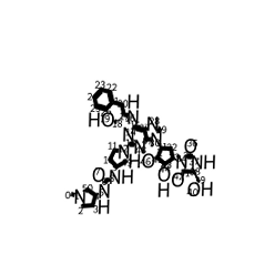 CN1CC[C@@H](NC(=O)N[C@@H]2CCN(c3nc(N[C@H](CO)Cc4ccccc4)c4ncn([C@@H]5C[C@H](N6C(=O)N[C@@H](CO)C6=O)[C@@H](O)[C@H]5O)c4n3)C2)C1